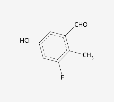 Cc1c(F)cccc1C=O.Cl